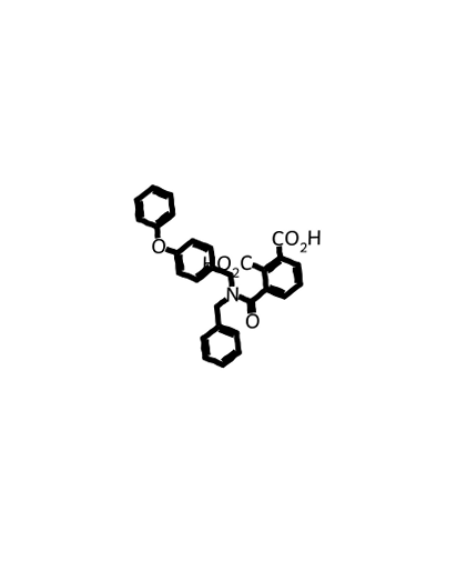 O=C(O)c1cccc(C(=O)N(Cc2ccccc2)Cc2ccc(Oc3ccccc3)cc2)c1C(=O)O